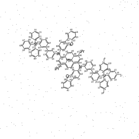 Cc1ccc([Si](c2ccc(C)cc2)(c2ccc(C)cc2)c2cccc(-c3cccc(N(c4ccc5c(c4)oc4ccccc45)c4cc(C(C)C)c5ccc6c(N(c7cccc(-c8cccc([Si](c9ccccc9)(c9ccccc9)c9ccccc9)c8)c7)c7ccc8c(c7)oc7ccccc78)cc(C(C)C)c7ccc4c5c76)c3)c2)cc1